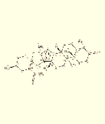 C[C@H]1CC[C@@]2(O[C@@]3(C)C[C@@]4(C)[C@@H]5CC[C@@]6(C)CC(=O)CC[C@]6(C)[C@@]5(C)CC[C@]4(C)[C@@]3(C)[C@@H]2C)N(C=O)C1